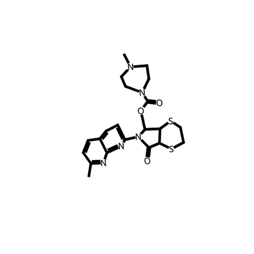 Cc1ccc2ccc(N3C(=O)C4SCCSC4C3OC(=O)N3CCN(C)CC3)nc2n1